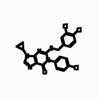 O=c1c2ncn(C3CC3)c2nc(SCc2ccc(Cl)c(Cl)c2)n1-c1ccc(Cl)cc1